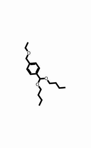 CCCCOC(OCCCC)c1ccc(COCC)cc1